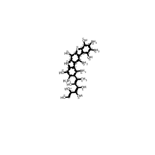 Bc1c(/C(C)=C(O)/C(O)=C(O)\C(O)=C\O)c(B)c2c([nH]c3c(O)c4oc5c(O)c(B)c(B)c(O)c5c4c(B)c32)c1O